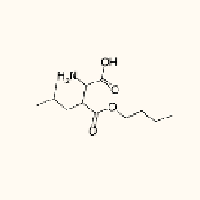 CCCCOC(=O)C(CC(C)C)C(N)C(=O)O